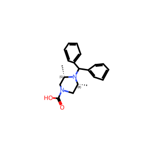 C[C@@H]1CN(C(=O)O)C[C@H](C)N1C(c1ccccc1)c1ccccc1